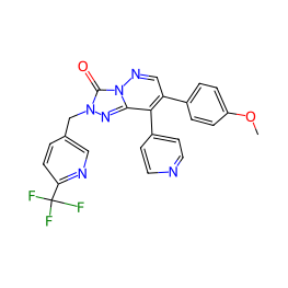 COc1ccc(-c2cnn3c(=O)n(Cc4ccc(C(F)(F)F)nc4)nc3c2-c2ccncc2)cc1